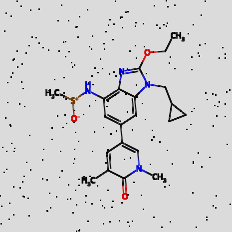 CCOc1nc2c(N[S+](C)[O-])cc(-c3cc(C)c(=O)n(C)c3)cc2n1CC1CC1